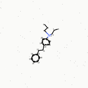 CCCN(CCC)c1ccc(CCc2c[c]ccc2)cc1